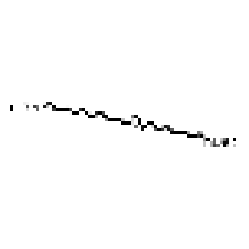 CCCCCCCCCCCCCCCCCCC[CH]OCCCCCCCCCCCCCCCCCC